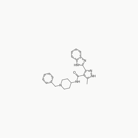 Cc1[nH]nc(-c2nc3ccccc3[nH]2)c1C(=O)NC1CCN(Cc2ccccc2)CC1